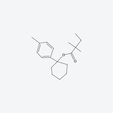 CCC(C)(C)C(=O)OC1(c2ccc(C)cc2)CCCCC1